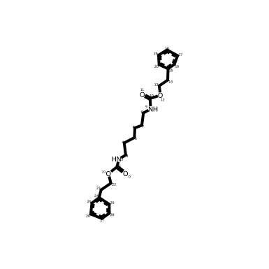 O=C(NCCCCCCNC(=O)OCCc1ccccc1)OCCc1ccccc1